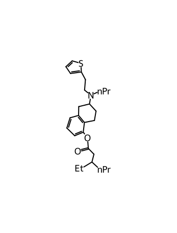 CCCC(CC)CC(=O)Oc1cccc2c1CCC(N(CCC)CCc1cccs1)C2